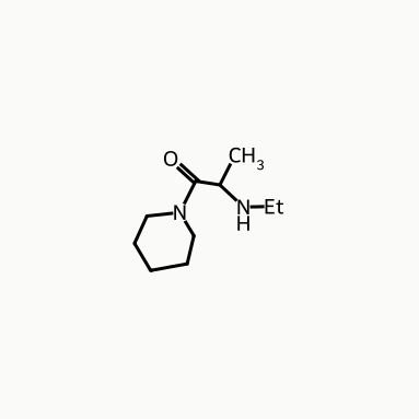 CCNC(C)C(=O)N1CCCCC1